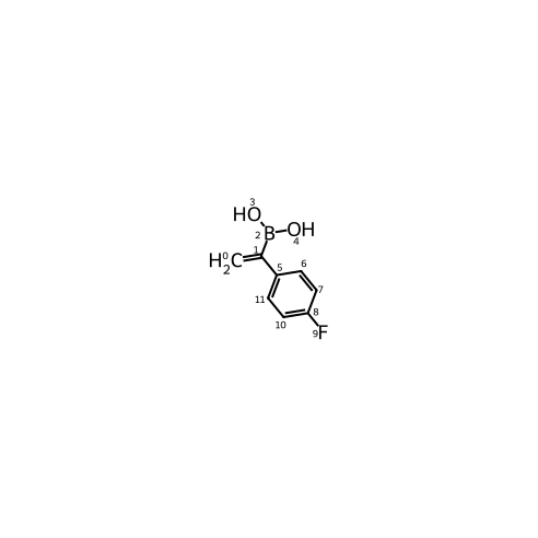 C=C(B(O)O)c1ccc(F)cc1